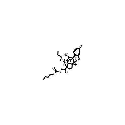 CCCCOC(=O)OCC(=O)[C@@]1(OC(=O)OCCC)CC[C@H]2[C@@H]3CCC4=CC(=O)C=C[C@]4(C)[C@@]3(Cl)C(O)C[C@@]21C